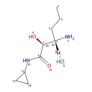 Cl.[2H][C@](N)(CCC)[C@H](O)C(=O)NC1CC1